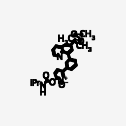 CC(C)NC(=O)Oc1ccc(-c2cccc(-c3cc(C(C)(C)S(C)(=O)=O)cc4cccnc34)c2)c[n+]1[O-]